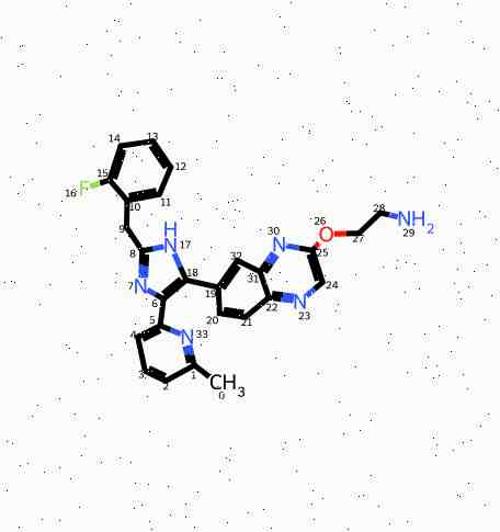 Cc1cccc(-c2nc(Cc3ccccc3F)[nH]c2-c2ccc3ncc(OCCN)nc3c2)n1